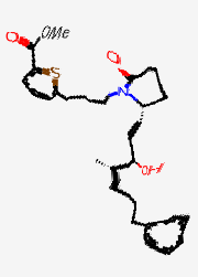 COC(=O)c1ccc(CCCN2C(=O)CC[C@@H]2/C=C/[C@@H](O)[C@@H](C)CCCc2ccccc2)s1